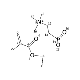 C=C(C)C(=O)OCC.C[N+](C)(C)CCP(=O)=O